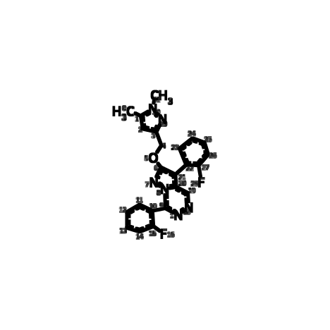 Cc1cc(COc2nn3c(-c4ccccc4F)nncc3c2-c2ccccc2F)nn1C